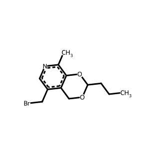 CCCC1OCc2c(CBr)cnc(C)c2O1